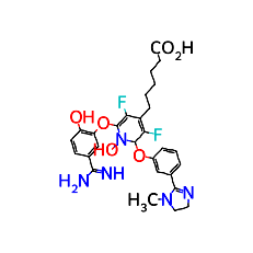 CN1CCN=C1c1cccc(OC2C(F)=C(CCCCCC(=O)O)C(F)=C(Oc3cc(C(=N)N)ccc3O)N2O)c1